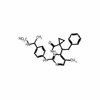 Cc1cnc(Nc2ccc(C(C)NC(=O)O)cc2)nc1C(Cc1ccccc1)C1(C(N)=O)CC1